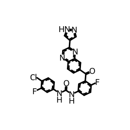 O=C(Nc1ccc(Cl)c(F)c1)Nc1ccc(F)c(C(=O)c2ccc3ncc(-c4cn[nH]c4)nc3c2)c1